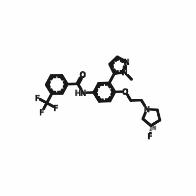 Cn1nccc1-c1cc(NC(=O)c2cccc(C(F)(F)F)c2)ccc1OCCN1CC[C@H](F)C1